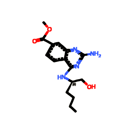 CCCC[C@H](CO)Nc1nc(N)nc2cc(C(=O)OC)ccc12